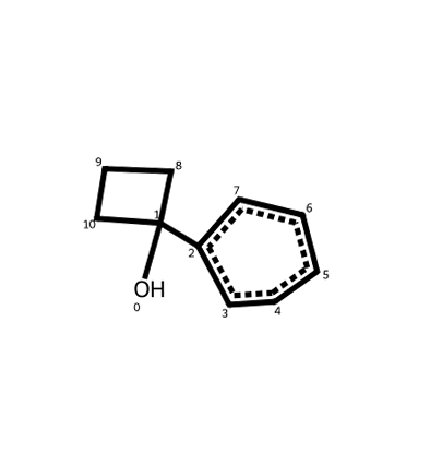 OC1(c2ccccc2)CCC1